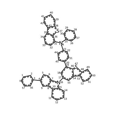 c1ccc(-c2ccc3c(c2)c2ccccc2n3-c2cc(-c3ccc(N(c4ccccc4)c4cccc5c4sc4ccccc45)cc3)c3sc4ccccc4c3c2)cc1